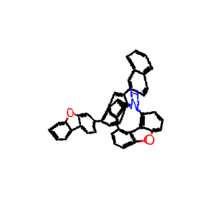 C1=C(c2ccc3ccccc3c2)C=C(c2cccc3oc4cccc(Nc5ccc(-c6ccc7c(c6)oc6ccccc67)cc5)c4c23)CC1